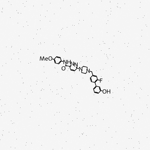 COc1ccc(NC(=O)c2ccc(N3CCN(Cc4ccc(-c5cccc(O)c5)c(F)c4)CC3)nn2)cc1